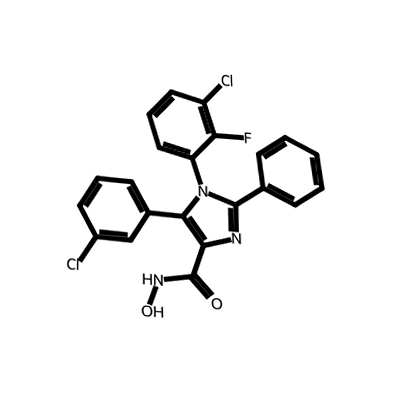 O=C(NO)c1nc(-c2ccccc2)n(-c2cccc(Cl)c2F)c1-c1cccc(Cl)c1